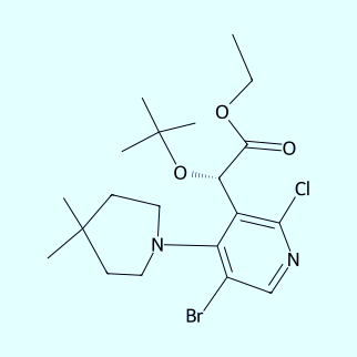 CCOC(=O)[C@@H](OC(C)(C)C)c1c(Cl)ncc(Br)c1N1CCC(C)(C)CC1